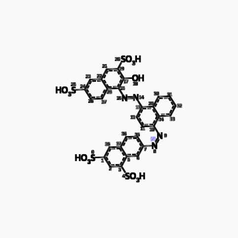 O=S(=O)(O)c1cc(S(=O)(=O)O)c2cc(/N=N\c3ccc(N=Nc4c(O)c(S(=O)(=O)O)cc5cc(S(=O)(=O)O)ccc45)c4ccccc34)ccc2c1